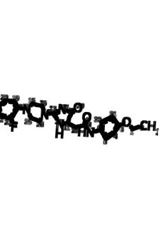 CCOc1ccc(NC(=O)CC2NC(N3CCN(c4ccccc4F)CC3)=NC2=O)cc1